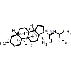 C/C(=N\C(C)C)[C@H]1CC[C@H]2[C@@H]3CC[C@H]4C[C@H](O)CC[C@]4(C)[C@H]3CC[C@]12C